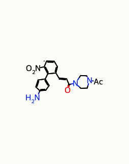 CC(=O)N1CCN(C(=O)/C=C/c2cc[c]c([N+](=O)[O-])c2-c2ccc(N)cc2)CC1